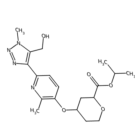 Cc1nc(-c2nnn(C)c2CO)ccc1OC1CCOC(C(=O)OC(C)C)C1